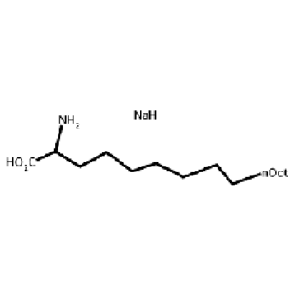 CCCCCCCCCCCCCCCC(N)C(=O)O.[NaH]